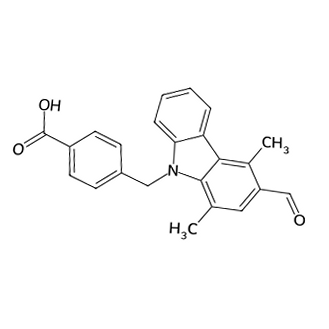 Cc1c(C=O)cc(C)c2c1c1ccccc1n2Cc1ccc(C(=O)O)cc1